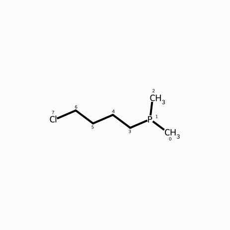 CP(C)CCCCCl